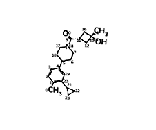 Cc1ccc(C2CCN(C(=O)[C@H]3C[C@@](C)(O)C3)CC2)cc1C1CC1